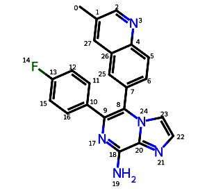 Cc1cnc2ccc(-c3c(-c4ccc(F)cc4)nc(N)c4nccn34)cc2c1